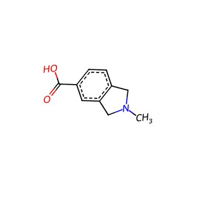 CN1Cc2ccc(C(=O)O)cc2C1